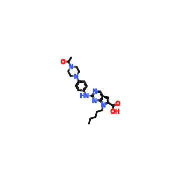 CCCCCn1c(C(=O)O)cc2cnc(Nc3ccc(N4CCN(C(C)=O)CC4)cc3)nc21